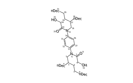 CCCCCCCCCCCCC(CCCCCCCCCC)CN(C(=O)CO)c1ccc(N(CC(CCCCCCCCCC)CCCCCCCCCCCC)C(=O)CO)cc1